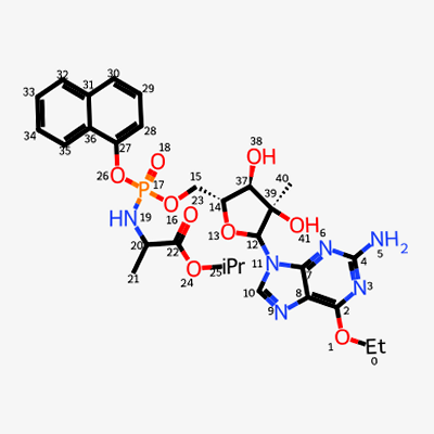 CCOc1nc(N)nc2c1ncn2C1O[C@H](COP(=O)(NC(C)C(=O)OC(C)C)Oc2cccc3ccccc23)[C@@H](O)[C@@]1(C)O